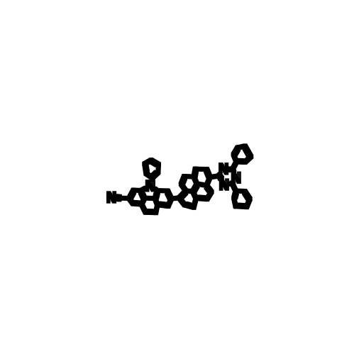 N#Cc1cc2ccc3cc(-c4ccc5ccc6c(-c7nc(-c8ccccc8)nc(-c8ccccc8)n7)ccc7ccc4c5c76)cc4c3c2c(c1)n4-c1ccccc1